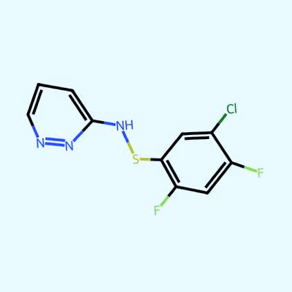 Fc1cc(F)c(SNc2cccnn2)cc1Cl